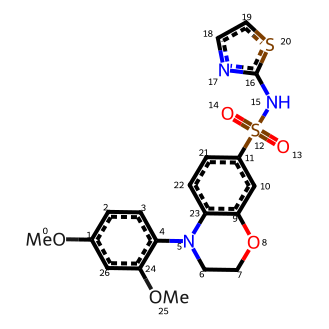 COc1ccc(N2CCOc3cc(S(=O)(=O)Nc4nccs4)ccc32)c(OC)c1